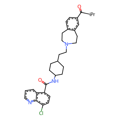 CC(C)C(=O)c1ccc2c(c1)CCN(CCC1CCC(NC(=O)c3ccc(Cl)c4ncccc34)CC1)CC2